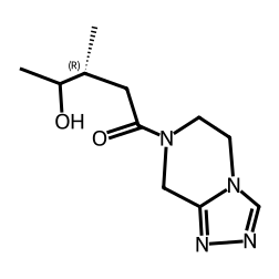 CC(O)[C@H](C)CC(=O)N1CCn2cnnc2C1